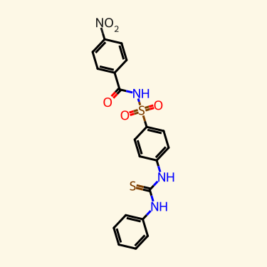 O=C(NS(=O)(=O)c1ccc(NC(=S)Nc2ccccc2)cc1)c1ccc([N+](=O)[O-])cc1